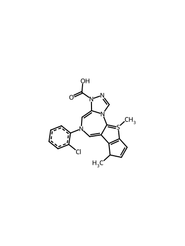 CC1C=CC2=C1C1=CN(c3ccccc3Cl)C=C3N(C=NN3C(=O)O)C1=S2C